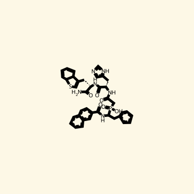 NC(=O)[C@H](CC1=CSC2C=CC=CC12)NC(=O)[C@H](Cc1cnc[nH]1)NC(=O)CP(=O)(O)C(Cc1ccccc1)NC(=O)c1ccc2ccccc2c1